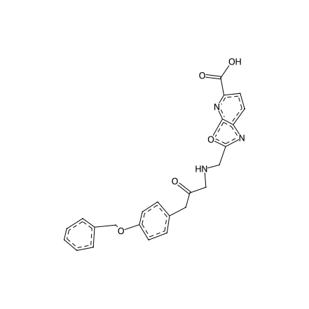 O=C(CNCc1nc2ccc(C(=O)O)nc2o1)Cc1ccc(OCc2ccccc2)cc1